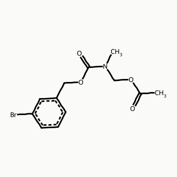 CC(=O)OCN(C)C(=O)OCc1cccc(Br)c1